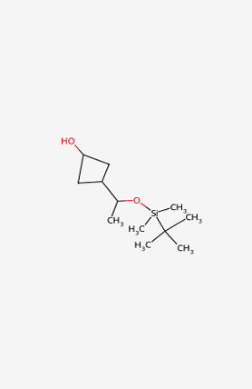 CC(O[Si](C)(C)C(C)(C)C)C1CC(O)C1